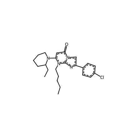 CCCCCn1c(N2CCCCC2CC)cc(=O)n2cc(-c3ccc(Cl)cc3)nc12